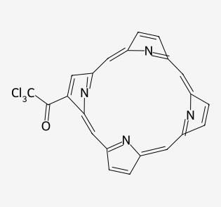 O=C(C1=CC2=NC1=CC1=NC(=CC3=NC(=CC4=NC(=C2)C=C4)C=C3)C=C1)C(Cl)(Cl)Cl